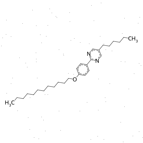 CCCCCCCCCCCCOc1ccc(-c2ncc(CCCCCC)cn2)cc1